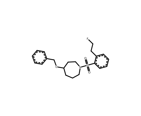 O=S(=O)(c1ccccc1CCF)N1CCCC(OCc2ccccc2)CC1